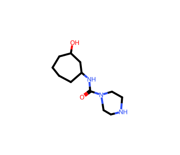 O=C(NC1CCCCC(O)C1)N1CCNCC1